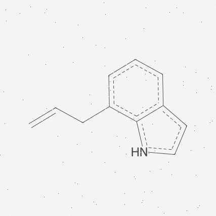 C=CCc1cccc2cc[nH]c12